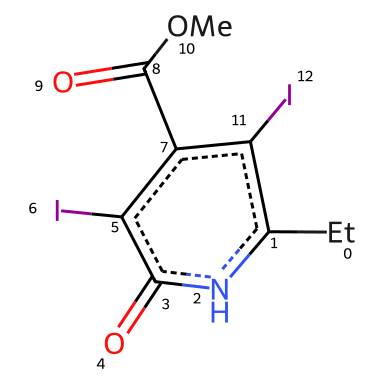 CCc1[nH]c(=O)c(I)c(C(=O)OC)c1I